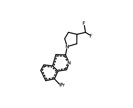 CC(C)c1cccc2cc(N3CCC(C(F)F)C3)ncc12